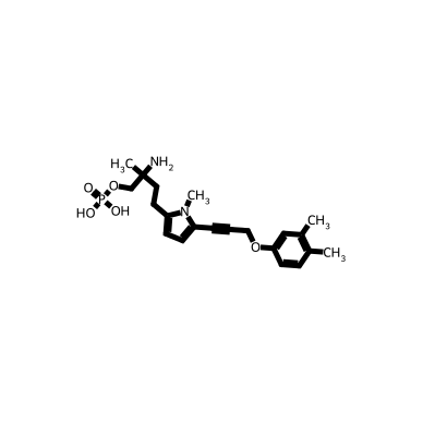 Cc1ccc(OCC#Cc2ccc(CCC(C)(N)COP(=O)(O)O)n2C)cc1C